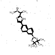 CC(=O)N(C)C(C)c1ncc(-c2ccc3cc(B4OC(C)(C)C(C)(C)O4)ccc3c2)[nH]1